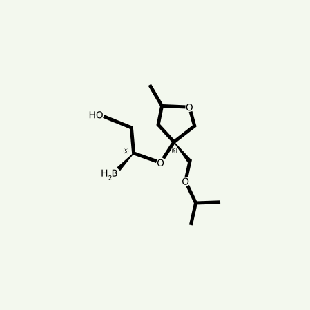 B[C@@H](CO)O[C@@]1(COC(C)C)COC(C)C1